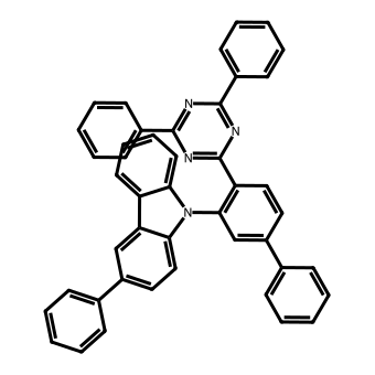 c1ccc(-c2ccc(-c3nc(-c4ccccc4)nc(-c4ccccc4)n3)c(-n3c4ccccc4c4cc(-c5ccccc5)ccc43)c2)cc1